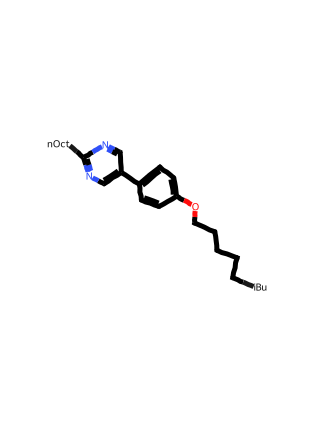 CCCCCCCCc1ncc(-c2ccc(OCCCCCC(C)CC)cc2)cn1